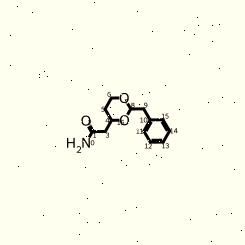 NC(=O)CC1CCOC(Cc2ccccc2)O1